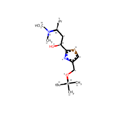 CC(C)[C@@H](C[C@H](O)c1nc(CO[Si](C)(C)C(C)(C)C)cs1)N(C)C(=O)O